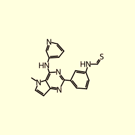 Cn1ccc2nc(-c3cccc(NC=S)c3)nc(Nc3cccnc3)c21